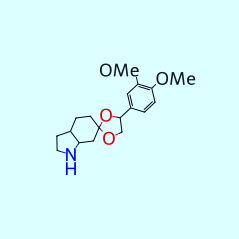 COc1ccc(C2COC3(CCC4CCNC4C3)O2)cc1OC